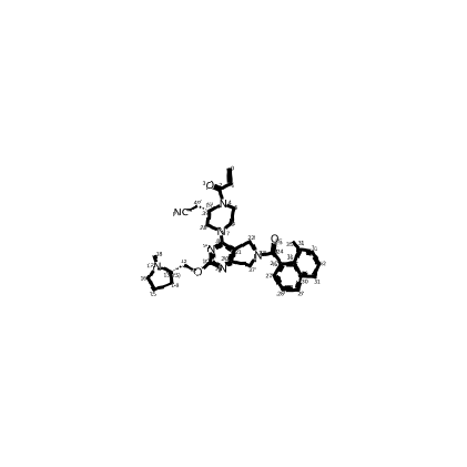 C=CC(=O)N1CCN(c2nc(OC[C@@H]3CCCN3C)nc3c2CN(C(=O)c2cccc4cccc(C)c24)C3)C[C@@H]1CC#N